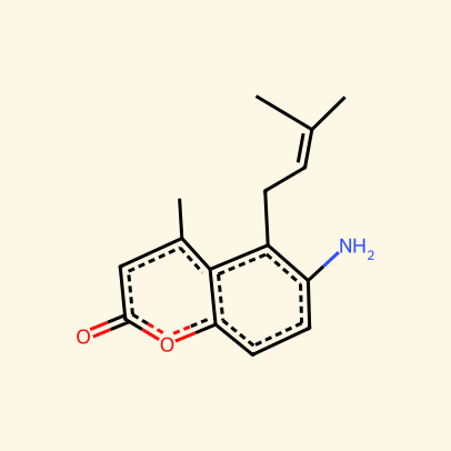 CC(C)=CCc1c(N)ccc2oc(=O)cc(C)c12